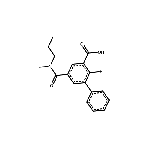 CCCN(C)C(=O)c1cc(C(=O)O)c(F)c(-c2ccccc2)c1